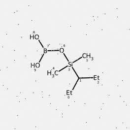 CCC(CC)[Si](C)(C)OB(O)O